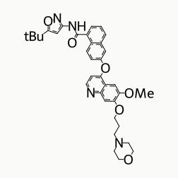 COc1cc2c(Oc3ccc4c(C(=O)Nc5cc(C(C)(C)C)on5)cccc4c3)ccnc2cc1OCCCN1CCOCC1